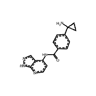 NC1(c2ccc(C(=O)Nc3ccnc4[nH]ncc34)cc2)CC1